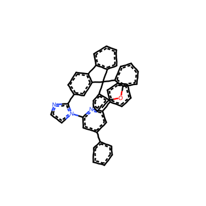 c1ccc(-c2cc(-c3ccccc3)nc(-n3ccnc3-c3ccc4c(c3)C3(c5ccccc5Oc5ccccc53)c3ccccc3-4)c2)cc1